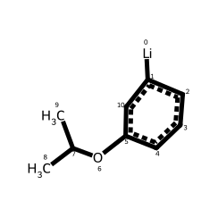 [Li][c]1cccc(OC(C)C)c1